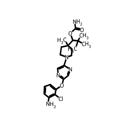 CC(C)(C)C(OC(N)=O)C1(C)CCN(c2cnc(Oc3cccc(N)c3Cl)cn2)CC1